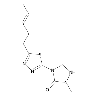 CC=CCCc1nnc(N2CNN(C)C2=O)s1